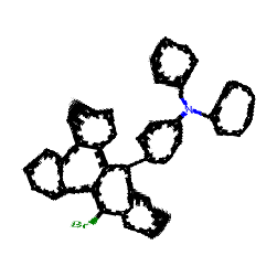 Brc1c2ccccc2c(-c2ccc(N(c3ccccc3)c3ccccc3)cc2)c2c3ccccc3c3ccccc3c12